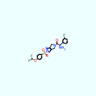 N[C@@H](C(=O)N1Cc2cn(S(=O)(=O)c3ccc(OC(F)F)cc3)nc2C1)c1cccc(F)c1